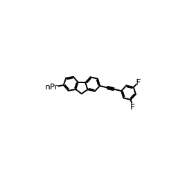 CCCc1ccc2c(c1)Cc1cc(C#Cc3cc(F)cc(F)c3)ccc1-2